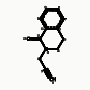 C#CCN1CCc2ccccc2C1=O